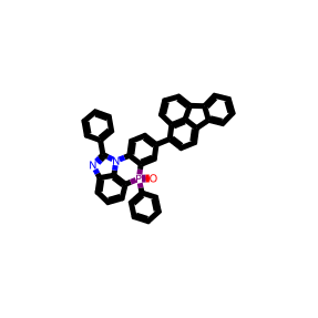 O=P1(c2ccccc2)c2cc(-c3ccc4c5c(cccc35)-c3ccccc3-4)ccc2-n2c(-c3ccccc3)nc3cccc1c32